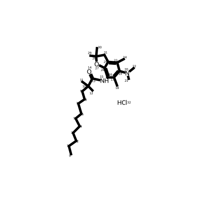 CCCCCCCCCCC(C)(C)C(=O)Nc1c(C)c(N(C)C)c(C)c2c1OC(C)(C)C2.Cl